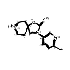 Cc1ccc(N2CC3(CCNCC3)OC2=O)cn1